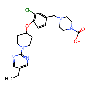 CCc1cnc(N2CCC(Oc3ccc(CN4CCN(C(=O)O)CC4)cc3Cl)CC2)nc1